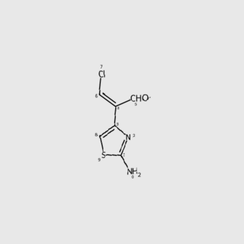 Nc1nc(C([C]=O)=CCl)cs1